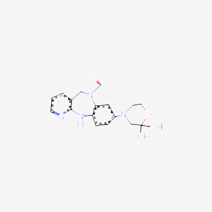 CC1(C)CN(c2ccc3c(c2)N(C=O)Cc2cccnc2N3)CCO1